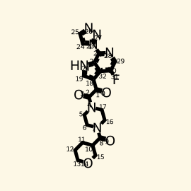 O=C(C(=O)N1CCN(C(=O)C2CCCOC2)CC1)c1c[nH]c2c(-n3ccnn3)ncc(F)c12